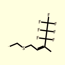 [CH2]CSCC=C(C)C(F)(F)C(F)(F)C(F)(F)F